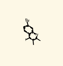 Cc1nc2cc(Br)ccc2c(I)c1C